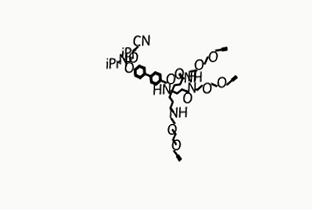 C#CCOCCOCCNCCCC(CCC(=O)NCCOCCOCC#C)(CCC(=O)NCCOCCOCC#C)NC(=O)c1ccc(-c2ccc(OP(OCCC#N)N(C(C)C)C(C)C)cc2)cc1